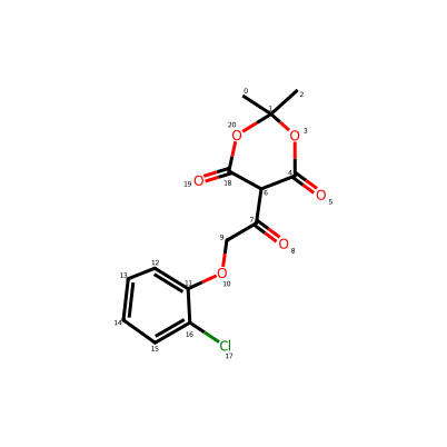 CC1(C)OC(=O)C(C(=O)COc2ccccc2Cl)C(=O)O1